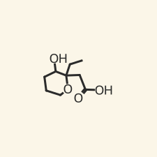 CCC1(CC(=O)O)OCCCC1O